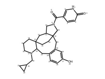 O=C(c1ccc(=O)[nH]c1)N1CC2CC34CCCN(CC5CC5)C3Cc3ccc(O)cc3CC2C1CC4